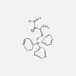 CCC(=O)C(=O)C(C)=NO[Si](c1ccccc1)(c1ccccc1)c1ccccc1